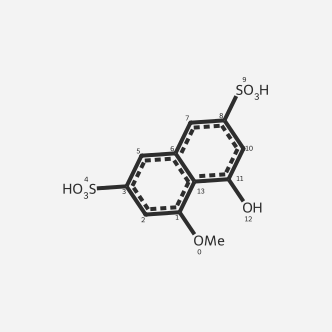 COc1cc(S(=O)(=O)O)cc2cc(S(=O)(=O)O)cc(O)c12